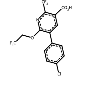 O=C(O)c1cc(-c2ccc(Cl)cc2)c(OCC(F)(F)F)nc1C(F)(F)F